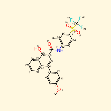 COc1ccc(-c2cc(C(=O)Nc3ccc(S(=O)(=O)C(F)(F)F)cc3C)c(O)c3ccccc23)cc1